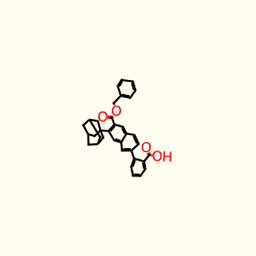 O=C(O)c1ccccc1-c1ccc2cc(C(=O)OCc3ccccc3)c(C34CC5CC(CC(C5)C3)C4)cc2c1